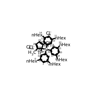 CCCCCCc1cc(CCCCCC)cc([Si](c2cc(CCCCCC)cc(CCCCCC)c2)(c2cc(CCCCCC)cc(CCCCCC)c2)[C]2([Ti+3])C(C)=CC=C2C)c1.[Cl-].[Cl-].[Cl-]